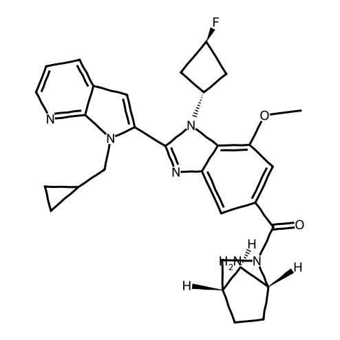 COc1cc(C(=O)N2C[C@H]3CC[C@@H]2[C@@H]3N)cc2nc(-c3cc4cccnc4n3CC3CC3)n([C@H]3C[C@H](F)C3)c12